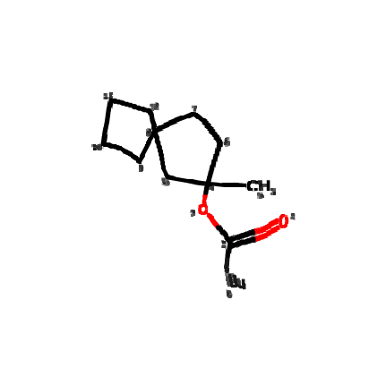 CCC(C)C(=O)OC1(C)CCC2(CCCC2)C1